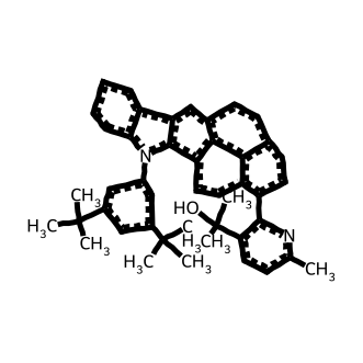 Cc1ccc(C(C)(C)O)c(-c2ccc3ccc4cc5c6ccccc6n(-c6cc(C(C)(C)C)cc(C(C)(C)C)c6)c5c5ccc2c3c45)n1